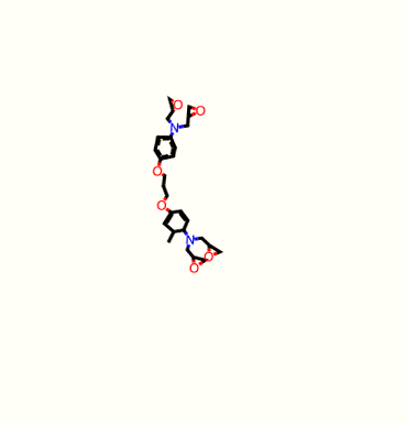 CC1C=C(OCCCOc2ccc(N(CC3CO3)CC3CO3)cc2)C=CC1N(CC1CO1)CC1CO1